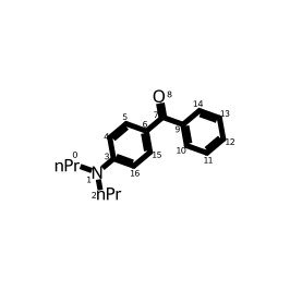 CCCN(CCC)c1ccc(C(=O)c2ccccc2)cc1